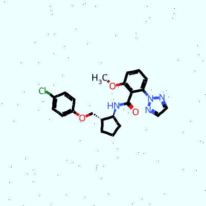 COc1cccc(-n2nccn2)c1C(=O)N[C@H]1CCC[C@@H]1COc1ccc(Cl)cc1